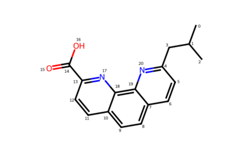 CC(C)Cc1ccc2ccc3ccc(C(=O)O)nc3c2n1